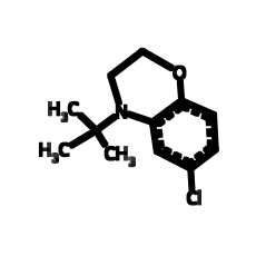 CC(C)(C)N1CCOc2ccc(Cl)cc21